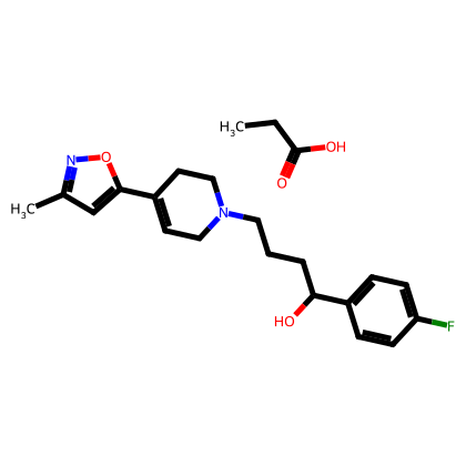 CCC(=O)O.Cc1cc(C2=CCN(CCCC(O)c3ccc(F)cc3)CC2)on1